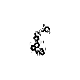 C#Cc1c(F)cc(F)c2c1C(N1C[C@H]3CC[C@@H](C1)N3)=CC(O)(c1cc3nc(OC[C@@]4(C)CN(C)CC[C@H]4F)ncc3cn1)C2